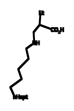 CCCCCCCCCCCCNCC(CC)C(=O)O